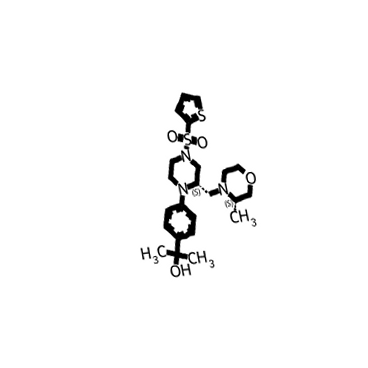 C[C@H]1COCCN1C[C@H]1CN(S(=O)(=O)c2cccs2)CCN1c1ccc(C(C)(C)O)cc1